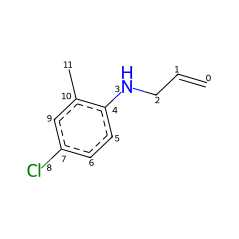 C=CCNc1ccc(Cl)cc1C